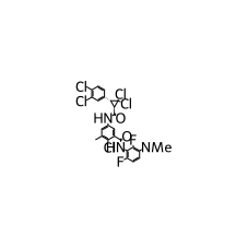 CNc1ccc(F)c(NC(=O)c2cc(NC(=O)[C@H]3[C@H](c4ccc(Cl)c(Cl)c4)C3(Cl)Cl)cc(C)c2Cl)c1F